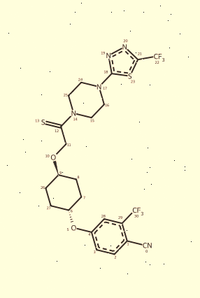 N#Cc1ccc(O[C@H]2CC[C@H](OCC(=S)N3CCN(c4nnc(C(F)(F)F)s4)CC3)CC2)cc1C(F)(F)F